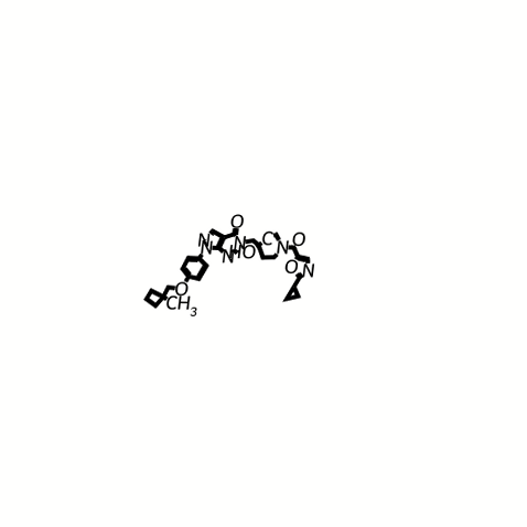 CC1(COc2ccc(-n3ncc4c(=O)n(CC5(O)CCN(C(=O)c6cnc(C7CC7)o6)CC5)cnc43)cc2)CCC1